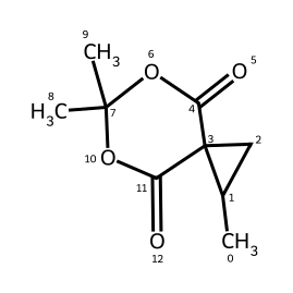 CC1CC12C(=O)OC(C)(C)OC2=O